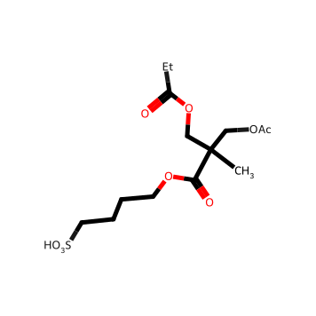 CCC(=O)OCC(C)(COC(C)=O)C(=O)OCCCCS(=O)(=O)O